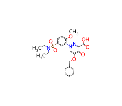 CCN(CC)S(=O)(=O)c1ccc(OC)c(-n2cc(OCc3ccccc3)c(=O)c(C(=O)O)n2)c1